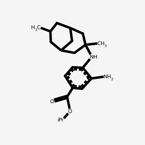 CC1CC2CC(C1)CC(C)(Nc1ccc(C(=O)OC(C)C)cc1N)C2